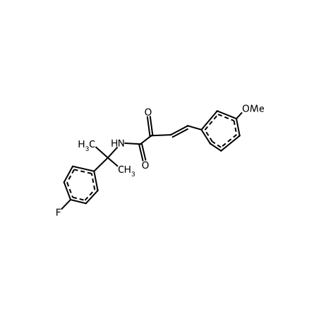 COc1cccc(/C=C/C(=O)C(=O)NC(C)(C)c2ccc(F)cc2)c1